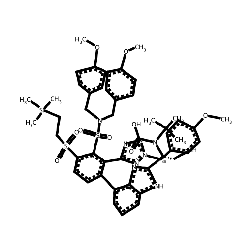 COc1ccc(CN(Cc2ccc(OC)cc2)S(=O)(=O)c2c(S(=O)(=O)CC[Si](C)(C)C)ccc(-c3cccc4[nH]c([C@@H](CO)N(C(=O)O)C(C)(C)C)nc34)c2-c2nnn(Cc3ccc(OC)cc3)n2)cc1